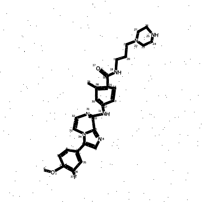 COc1ccc(-c2cnc3c(Nc4ccc(C(=O)NCCCN5CCNCC5)c(C)c4)nccn23)cc1F